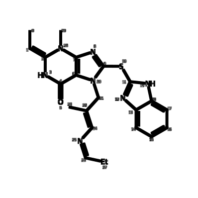 CC=C1NC(=O)c2c(nc(Sc3nc4ccccc4[nH]3)n2C/C(C)=C/N=C\CC)N1C